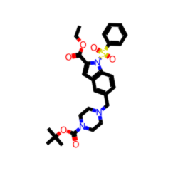 CCOC(=O)c1cc2cc(CN3CCN(C(=O)OC(C)(C)C)CC3)ccc2n1S(=O)(=O)c1ccccc1